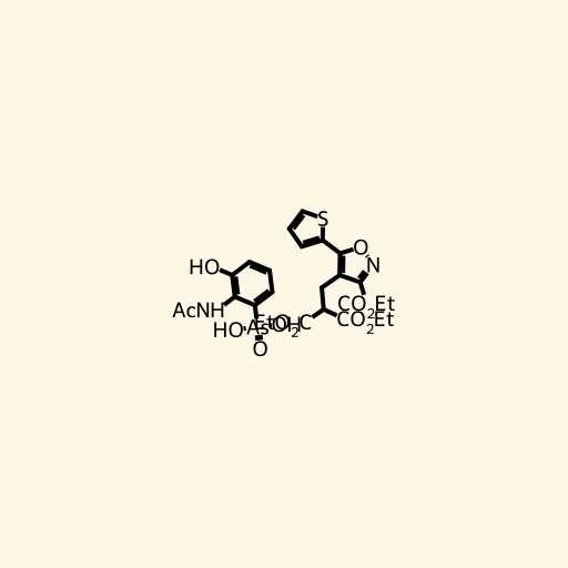 CC(=O)Nc1c(O)cccc1[As](=O)(O)O.CCOC(=O)c1noc(-c2cccs2)c1CC(C(=O)OCC)C(=O)OCC